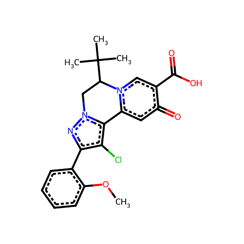 COc1ccccc1-c1nn2c(c1Cl)-c1cc(=O)c(C(=O)O)cn1C(C(C)(C)C)C2